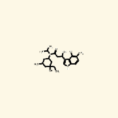 CCC1(O)CC(C)CC(N(C(=O)CC(C)c2c[nH]c3ccc(C)c(Cl)c23)C(C)C)C1